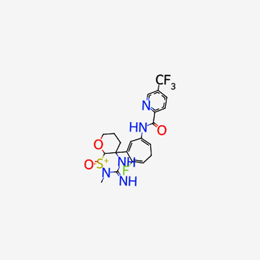 CN1C(=N)NC2(C3=CC(NC(=O)c4ccc(C(F)(F)F)cn4)=CCC=C3F)CCCOC2[S+]1[O-]